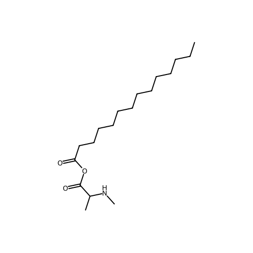 CCCCCCCCCCCCCC(=O)OC(=O)C(C)NC